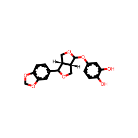 Oc1ccc(OC2OC[C@H]3C(c4ccc5c(c4)OCO5)OC[C@@H]23)cc1O